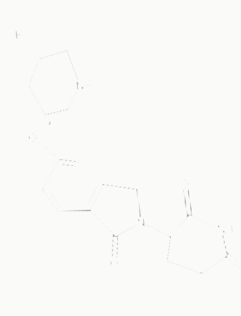 O=C1CCC(N2Cc3cc(O[C@H]4CNC[C@@H](F)C4)ccc3C2=O)C(=O)N1